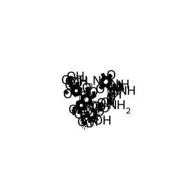 CO[C@@]12[C@H](COC(N)=O)C3=C(C(=O)C(C)=C(N)C3=O)N1C[C@@H]1N[C@@H]12.COc1cc([C@@H]2c3cc4c(cc3C(O[C@@H]3O[C@@H]5CO[C@@H](C)O[C@H]5[C@H](O)[C@H]3OP(=O)(O)O)C3COC(=O)[C@@H]32)OCO4)cc(OC)c1OP(=O)(O)O